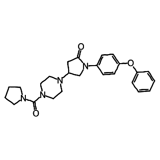 O=C(N1CCCC1)N1CCN(C2CC(=O)N(c3ccc(Oc4ccccc4)cc3)C2)CC1